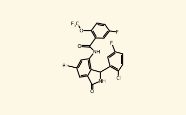 O=C(Nc1cc(Br)cc2c1C(c1cc(F)ccc1Cl)NC2=O)c1cc(F)ccc1OC(F)(F)F